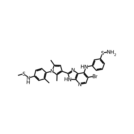 CSNc1ccc(-n2c(C)cc(-c3nc4c(Nc5cccc(SN)c5)c(Br)cnc4[nH]3)c2C)c(C)c1